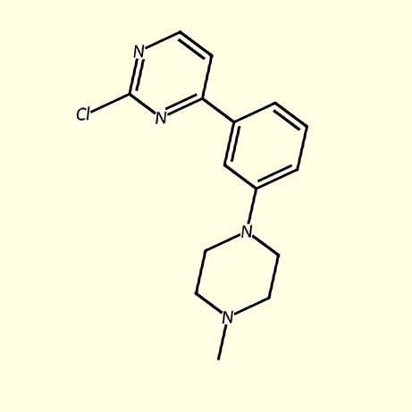 CN1CCN(c2cccc(-c3ccnc(Cl)n3)c2)CC1